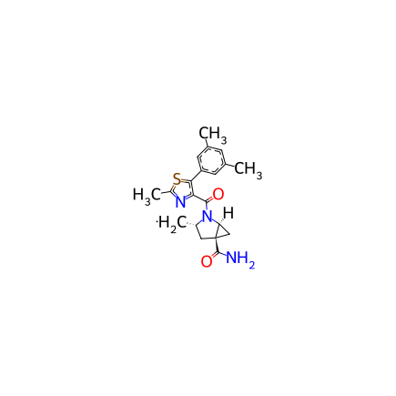 [CH2][C@H]1C[C@@]2(C(N)=O)C[C@@H]2N1C(=O)c1nc(C)sc1-c1cc(C)cc(C)c1